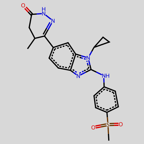 CC1CC(=O)NN=C1c1ccc2nc(Nc3ccc(S(C)(=O)=O)cc3)n(C3CC3)c2c1